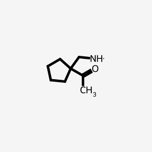 CC(=O)C1(C[NH])CCCC1